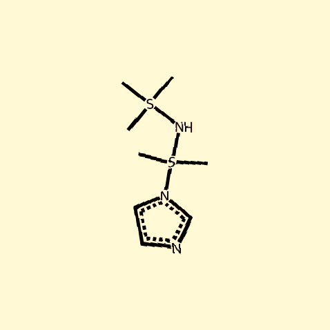 CS(C)(C)NS(C)(C)n1ccnc1